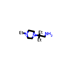 CCN1CCN(C(CC)(CC)CN)CC1